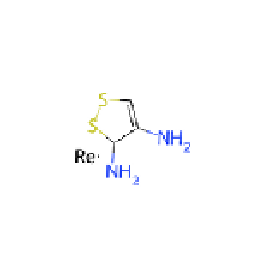 NC1=CSSC1N.[Re]